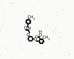 Cc1ccc(-c2nc(CO[C@@H]3CCC[C@H](OCc4cccc(C)c4C(=O)O)C3)co2)cc1